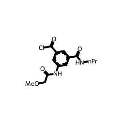 CCCNC(=O)c1cc(NC(=O)COC)cc(C(=O)Cl)c1